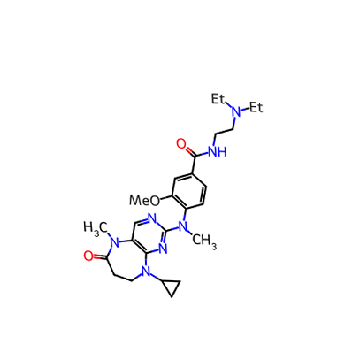 CCN(CC)CCNC(=O)c1ccc(N(C)c2ncc3c(n2)N(C2CC2)CCC(=O)N3C)c(OC)c1